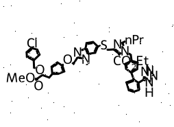 CCCc1nc(CSc2ccc3nc(COc4ccc(CC(OCc5ccc(Cl)cc5)C(=O)OC)cc4)n(C)c3c2)c(C(=O)OCC)n1Cc1ccc(-c2ccccc2-c2nnn[nH]2)cc1